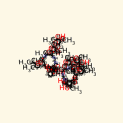 CC[C@H](C)[C@H]1O[C@]2(C=C[C@@H]1C)C[C@@H]1C[C@@H](C/C=C(\C)[C@@H](O[C@H]3C[C@H](OC)[C@@H](O[C@H]4C[C@H](OC)[C@@H](O)[C@H](C)O4)[C@H](C)O3)[C@@H](C)/C=C/C=C3\CO[C@@H]4[C@H](O)C(C)=C[C@@H](C(=O)O1)[C@]34OC(=O)c1ccccc1)O2.CO[C@H]1C[C@H](O[C@H]2[C@H](C)O[C@@H](O[C@@H]3/C(C)=C/C[C@@H]4C[C@@H](C[C@]5(C=C[C@H](C)[C@@H](C(C)C)O5)O4)OC(=O)[C@@H]4C=C(C)[C@@H](O)[C@H]5OC/C(=C\C=C\[C@@H]3C)[C@]54O)C[C@@H]2OC)O[C@@H](C)[C@@H]1O